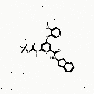 COc1ccccc1Nc1cc(NC(=O)OC(C)(C)C)nc(C(=O)NC2Cc3ccccc3C2)c1